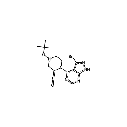 CC(C)(C)ON1CCN(c2ncnc3[nH]nc(Br)c23)C(=C=O)C1